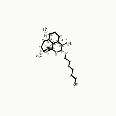 C[C@H]1[C@H](SCCCCCCO)O[C@@H]2O[C@]3(C)CC[C@H]4[C@H](C)CC[C@@H]1[C@@]24OO3